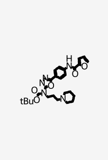 CC(C)(C)OC(=O)N(CCCN1CCCCC1)c1nnc(-c2ccc(NC(=O)c3ccco3)cc2)o1